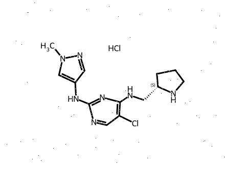 Cl.Cn1cc(Nc2ncc(Cl)c(NC[C@@H]3CCCN3)n2)cn1